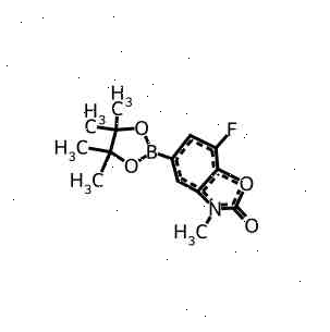 Cn1c(=O)oc2c(F)cc(B3OC(C)(C)C(C)(C)O3)cc21